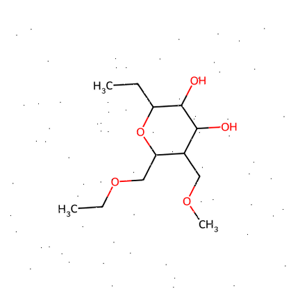 CCOCC1OC(CC)C(O)C(O)C1COC